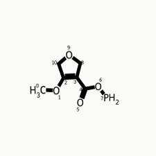 COC1=C(C(=O)OP)COC1